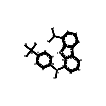 CC(C)c1cccc2c1sc1c(N(C)c3ccc(C(C)(C)C)cc3)cccc12